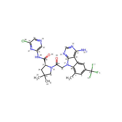 Cc1cc(C(F)(F)F)cc2c3c(N)ncnc3n(CC(=O)N3CC(C)(C)C[C@H]3C(=O)Nc3cncc(Cl)n3)c12